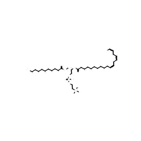 CC/C=C\C/C=C\C/C=C\CCCCCCCCCC(=O)O[C@H](COC(=O)CCCCCCCCCCCCCCCCCCC)COP(=O)(O)OCC[N+](C)(C)C